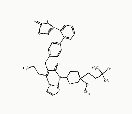 CCCc1c(Cc2ccc(-c3ccccc3-c3noc(=O)[nH]3)cc2)c(=O)n(C2CCC(CCC(C)(C)O)(OC)CC2)c2ncnn12